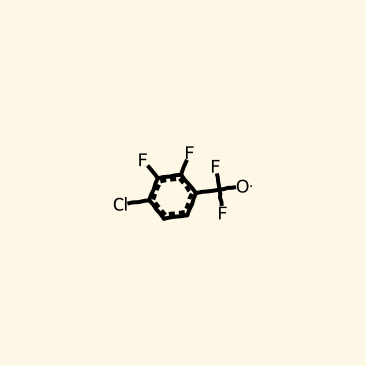 [O]C(F)(F)c1ccc(Cl)c(F)c1F